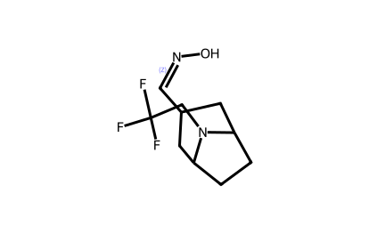 O/N=C\C1CC2CCC(C1)N2CC(F)(F)F